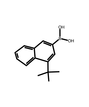 CC(C)(C)c1cc(B(O)O)cc2ccccc12